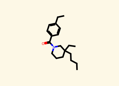 CCCCC1(CC)CCCN(C(=O)c2ccc(CC)cc2)C1